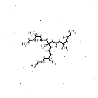 CCNCC(C)CNCC(C)(CNCC(C)CNCC)CNCC(C)NCC